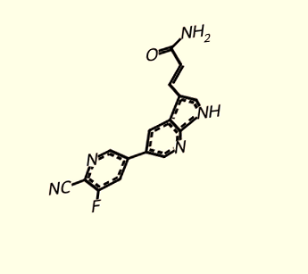 N#Cc1ncc(-c2cnc3[nH]cc(C=CC(N)=O)c3c2)cc1F